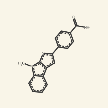 Cn1c2ccccc2c2cc(-c3ccc(C([NH])=O)cc3)sc21